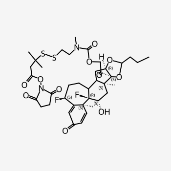 CCCC1O[C@@H]2CC3C4CC[C@H](F)C5=CC(=O)C=C[C@]5(C)[C@@]4(F)[C@@H](O)C[C@]3(C)[C@]2(C(=O)COC(=O)N(C)CCSSC(C)(C)CC(=O)ON2C(=O)CCC2=O)O1